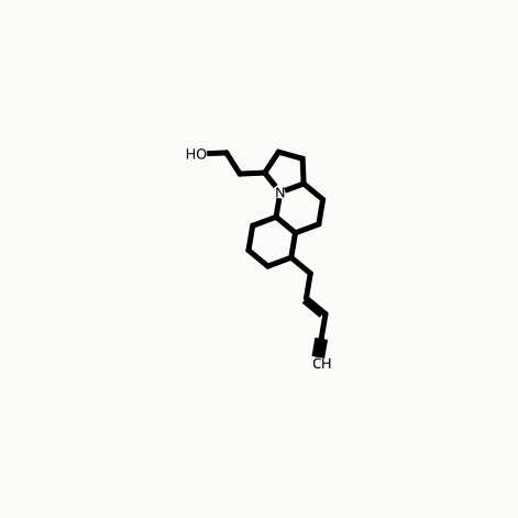 C#CC=CCC1CCCC2C1CCC1CCC(CCO)N12